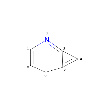 C1=CN=C2C=C2C1